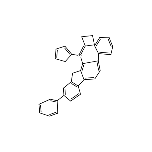 C1=CC[C]([Zr](=[C]2CCC2)[c]2c(-c3ccccc3)ccc3c2Cc2cc(-c4ccccc4)ccc2-3)=C1